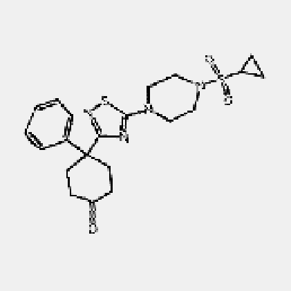 O=C1CCC(c2ccccc2)(c2nsc(N3CCN(S(=O)(=O)C4CC4)CC3)n2)CC1